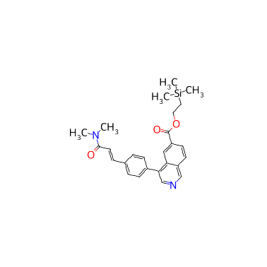 CN(C)C(=O)C=Cc1ccc(-c2cncc3ccc(C(=O)OCC[Si](C)(C)C)cc23)cc1